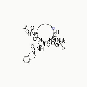 C=C(C)OC(=O)N[C@H]1CCCCC/C=C\[C@@H]2C[C@@]2(C(=O)NS(=O)(=O)C2CC2)NC(=O)[C@@H]2C[C@@H](NC(=O)N3CCc4ccccc4C3)CN2C1=O